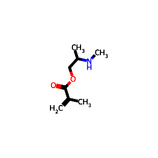 C=C(C)C(=O)OCC(C)NC